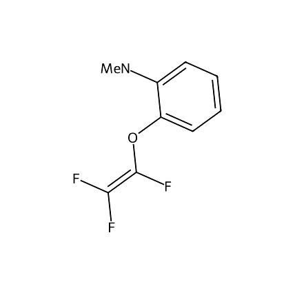 CNc1ccccc1OC(F)=C(F)F